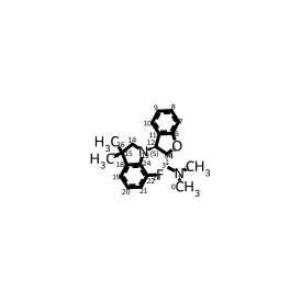 CN(C)C[C@H]1Oc2ccccc2[C@@H]1N1CC(C)(C)c2cccc(F)c21